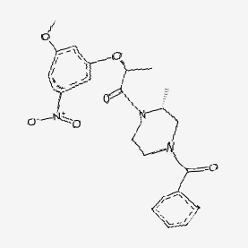 COc1cc(OC(C)C(=O)N2CCN(C(=O)c3ccccc3)C[C@H]2C)cc([N+](=O)[O-])c1